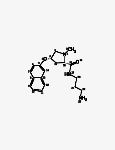 CN1C[C@@H](Oc2ccc3ccccc3c2)C[C@H]1C(=O)NCCCN